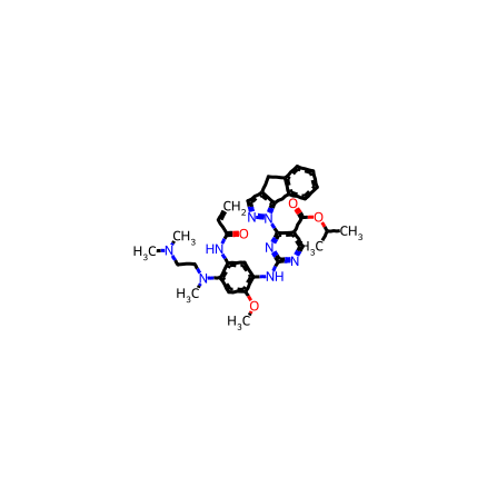 C=CC(=O)Nc1cc(Nc2ncc(C(=O)OC(C)C)c(-n3ncc4c3-c3ccccc3C4)n2)c(OC)cc1N(C)CCN(C)C